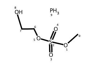 COS(=O)(=O)OCCO.P